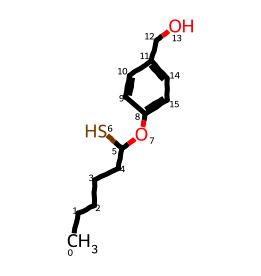 CCCCCC(S)Oc1ccc(CO)cc1